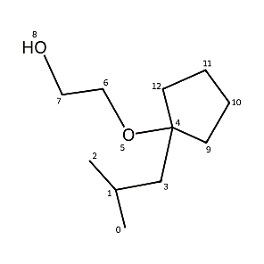 CC(C)CC1(OCCO)CCCC1